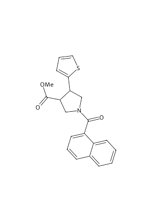 COC(=O)C1CN(C(=O)c2cccc3ccccc23)CC1c1cccs1